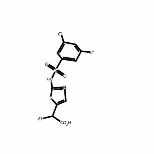 CCC(C(=O)O)c1cnc(NS(=O)(=O)c2cc(Cl)cc(Cl)c2)s1